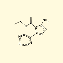 C=C(OCC)c1c(-c2cnccn2)csc1N